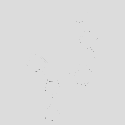 CNC(=O)c1ccc(Nc2cc(Oc3sc(C4CCCC4)nc3-c3ccccc3)ccn2)nc1